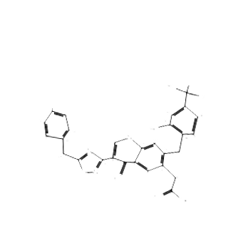 O=C(O)Cc1cc2c(=O)c(-c3noc(Cc4ccccc4)n3)c[nH]c2cc1Cc1ccc(C(F)(F)F)cc1F